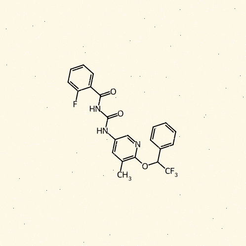 Cc1cc(NC(=O)NC(=O)c2ccccc2F)cnc1OC(c1ccccc1)C(F)(F)F